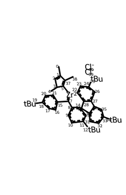 CC1=CC(C)[C]([Zr+2](=[C](c2ccc(C(C)(C)C)cc2)c2ccc(C(C)(C)C)cc2)[c]2cc(C(C)(C)C)cc3c2Cc2ccc(C(C)(C)C)cc2-3)=C1C.[Cl-].[Cl-]